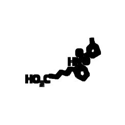 Cc1cccc(S(=O)(=O)NC2C3CCC(C3)C2C=CCCCC(=O)O)c1